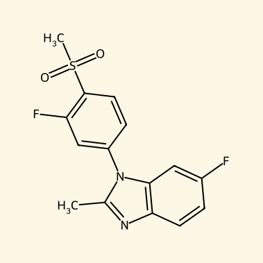 Cc1nc2ccc(F)cc2n1-c1ccc(S(C)(=O)=O)c(F)c1